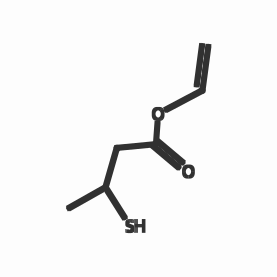 C=COC(=O)CC(C)S